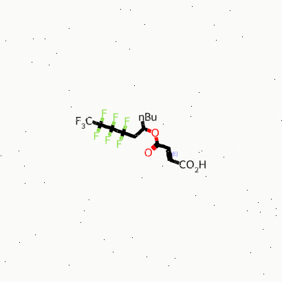 CCCCC(CC(F)(F)C(F)(F)C(F)(F)C(F)(F)F)OC(=O)/C=C/C(=O)O